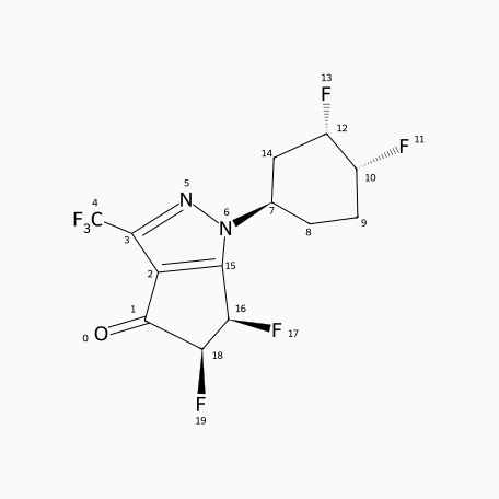 O=C1c2c(C(F)(F)F)nn([C@@H]3CC[C@@H](F)[C@@H](F)C3)c2[C@@H](F)[C@H]1F